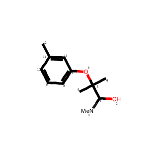 CNC(O)C(C)(C)Oc1cccc(C)c1